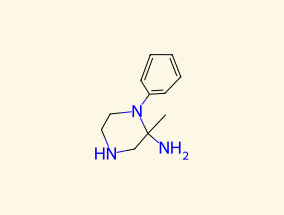 CC1(N)CNCCN1c1ccccc1